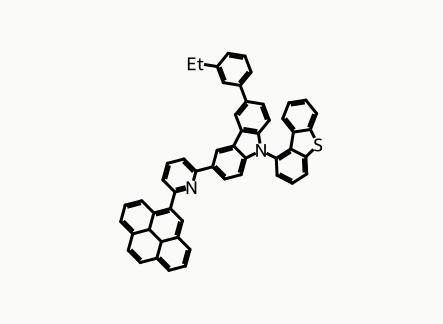 CCc1cccc(-c2ccc3c(c2)c2cc(-c4cccc(C5=C6C=CC=C7C=CC8=CC=CC(=C5)C8C76)n4)ccc2n3-c2cccc3sc4ccccc4c23)c1